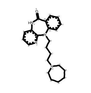 O=C1Nc2cccnc2N(CCCCN2CCCCCC2)c2ccccc21